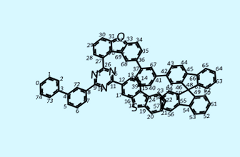 c1ccc(-c2cccc(-c3nc(-c4ccc5c(c4)sc4ccccc45)nc(-c4cccc5oc6ccc(-c7cccc(-c8ccc9c(c8)C8(c%10ccccc%10-c%10ccccc%108)c8ccccc8-9)c7)cc6c45)n3)c2)cc1